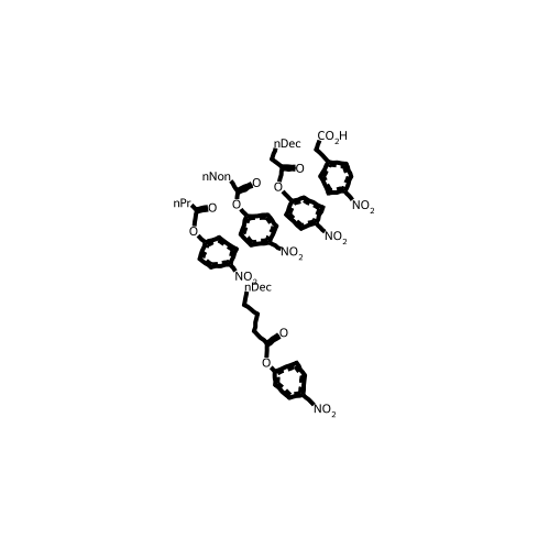 CCCC(=O)Oc1ccc([N+](=O)[O-])cc1.CCCCCCCCCC(=O)Oc1ccc([N+](=O)[O-])cc1.CCCCCCCCCCCC(=O)Oc1ccc([N+](=O)[O-])cc1.CCCCCCCCCCCCCC(=O)Oc1ccc([N+](=O)[O-])cc1.O=C(O)Cc1ccc([N+](=O)[O-])cc1